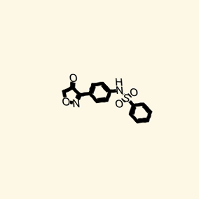 O=C1CON=C1c1ccc(NS(=O)(=O)c2ccccc2)cc1